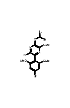 CCc1nc(OC(CC)CC)c(OC)nc1-c1c(OC)cc(C(C)C)cc1OC